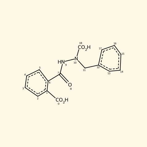 O=C(O)c1ccccc1C(=O)NN(Cc1ccccc1)C(=O)O